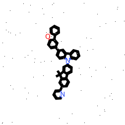 CC1(C)c2cc(-c3ccccn3)ccc2-c2ccc(-n3c4ccccc4c4cc(-c5ccc6oc7ccccc7c6c5)ccc43)cc21